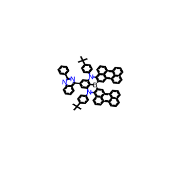 CC(C)(C)c1ccc(N2c3cc(-c4nc(-c5ccccc5)nc5ccccc45)cc4c3B(c3cc5c6cccc7cccc(c8cccc(c32)c85)c76)c2cc3c5cccc6cccc(c7cccc(c2N4c2ccc(C(C)(C)C)cc2)c73)c65)cc1